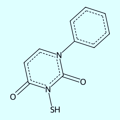 O=c1ccn(-c2ccccc2)c(=O)n1S